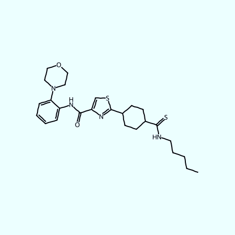 CCCCCNC(=S)C1CCC(c2nc(C(=O)Nc3ccccc3N3CCOCC3)cs2)CC1